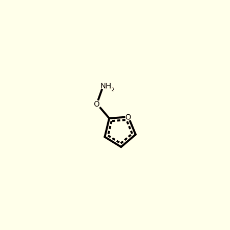 NOc1ccco1